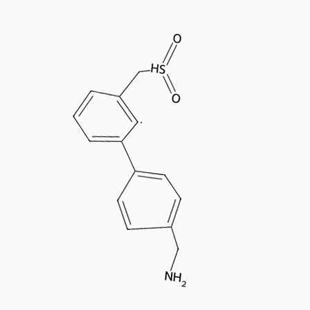 NCc1ccc(-c2[c]c(C[SH](=O)=O)ccc2)cc1